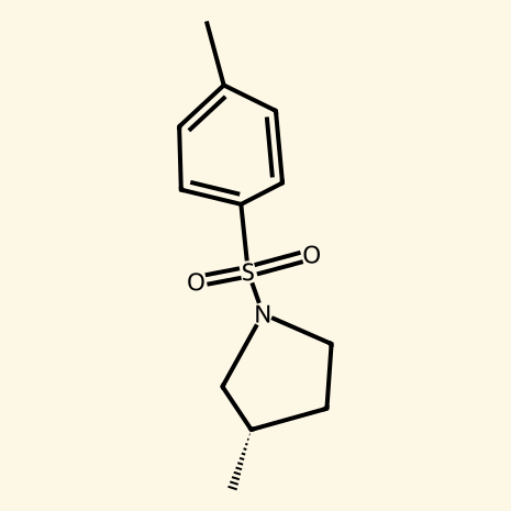 Cc1ccc(S(=O)(=O)N2CC[C@H](C)C2)cc1